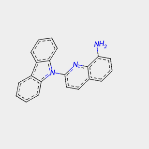 Nc1cccc2ccc(-n3c4ccccc4c4ccccc43)nc12